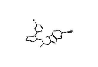 CC(Cc1nc2cc(C#N)ccc2[nH]1)Cn1ccnc1-c1cccc(F)c1